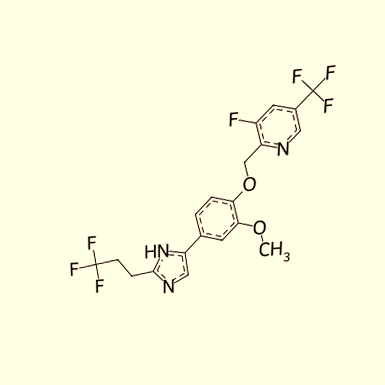 COc1cc(-c2cnc(CCC(F)(F)F)[nH]2)ccc1OCc1ncc(C(F)(F)F)cc1F